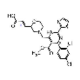 COC(=O)C1=C(CN2CCOC(/C=C/C(=O)O)C2)NC(c2nccs2)=N[C@H]1c1ccc(Cl)cc1Cl